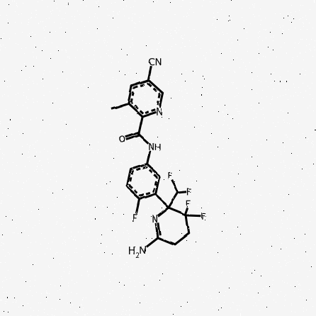 Cc1cc(C#N)cnc1C(=O)Nc1ccc(F)c(C2(C(F)F)N=C(N)CCC2(F)F)c1